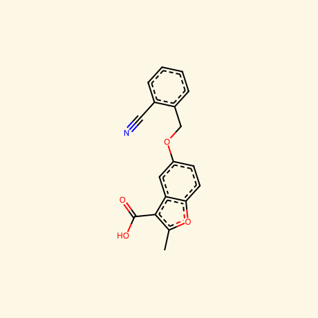 Cc1oc2ccc(OCc3ccccc3C#N)cc2c1C(=O)O